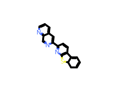 C1=CCC2Sc3nc(-c4cc5cccnc5cn4)ccc3C2=C1